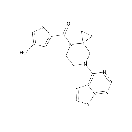 O=C(c1cc(O)cs1)N1CCN(c2ncnc3[nH]ccc23)CC12CC2